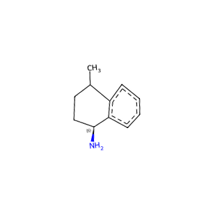 CC1CC[C@H](N)c2ccccc21